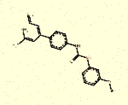 C=C/C=C(\C=C(\C)N)c1ccc(NC(=O)Nc2cccc(OC(C)C)c2)cc1